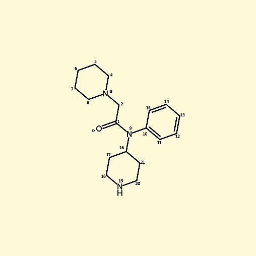 O=C(CN1CCCCC1)N(c1ccccc1)C1CCNCC1